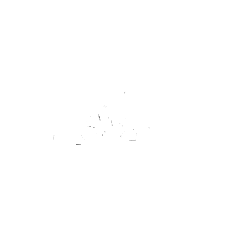 Cc1cc(CN(Cc2cc(N3CCC(C)(O)CC3)ccc2-c2cc(C(C)C)ccc2C)c2ncc(OCCCC(=O)O)cn2)cc(C(F)(F)F)c1